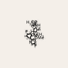 CON(C)C(=O)[C@@]1(Cc2cc(-c3ncc(F)cn3)ccc2F)C[C@H](F)[C@H](NS(C)(=O)=O)C1